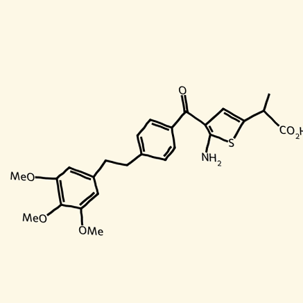 COc1cc(CCc2ccc(C(=O)c3cc(C(C)C(=O)O)sc3N)cc2)cc(OC)c1OC